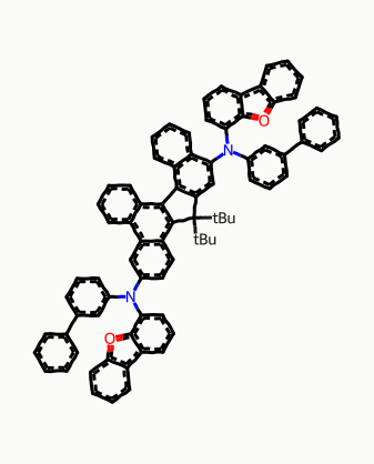 CC(C)(C)C1(C(C)(C)C)c2cc(N(c3cccc(-c4ccccc4)c3)c3cccc4c3oc3ccccc34)c3ccccc3c2-c2c1c1ccc(N(c3cccc(-c4ccccc4)c3)c3cccc4c3oc3ccccc34)cc1c1ccccc21